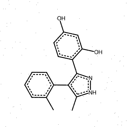 Cc1ccccc1-c1c(-c2ccc(O)cc2O)n[nH]c1C